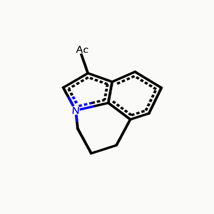 [CH2]C(=O)c1cn2c3c(cccc13)CCC2